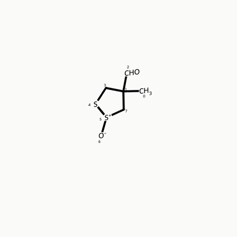 CC1(C=O)CS[S+]([O-])C1